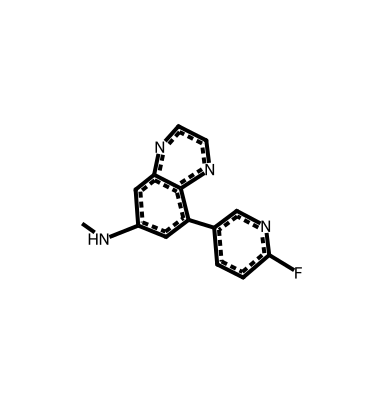 CNc1cc(-c2ccc(F)nc2)c2nccnc2c1